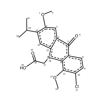 COc1cc2c(=O)c3ccc(Cl)c(OC)c3n(CC(=O)O)c2cc1C(C)C